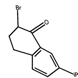 CC(C)c1ccc2c(c1)C(=O)C(Br)CC2